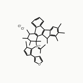 C[C](C)=[Zr+2]([C]1=C(c2ccoc2)C=CC1C)[C]1(C)c2c3c(c4ccccc4c2C(C)C(C)C1C)-c1cc(C)c(C)c(C)c1C3C.[Cl-].[Cl-]